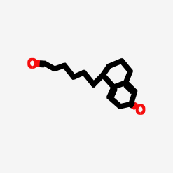 O=CCCCCCC1CCCC2=CC(=O)CC=C21